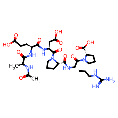 CC(=O)N[C@@H](C)C(=O)N[C@@H](CCC(=O)O)C(=O)N[C@@H](CC(=O)O)C(=O)N1CCC[C@H]1C(=O)N[C@@H](CCCNC(=N)N)C(=O)N1CCC[C@H]1C(=O)O